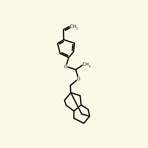 C=Cc1ccc(OC(C)OCC23CCC4CCC(CC4C2)C3)cc1